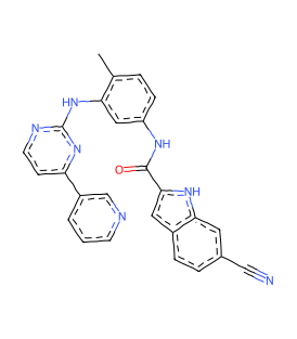 Cc1ccc(NC(=O)c2cc3ccc(C#N)cc3[nH]2)cc1Nc1nccc(-c2cccnc2)n1